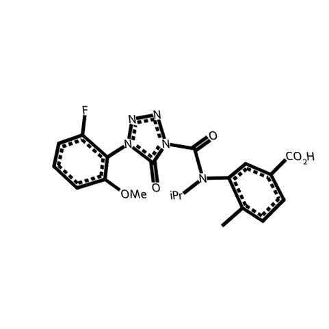 COc1cccc(F)c1-n1nnn(C(=O)N(c2cc(C(=O)O)ccc2C)C(C)C)c1=O